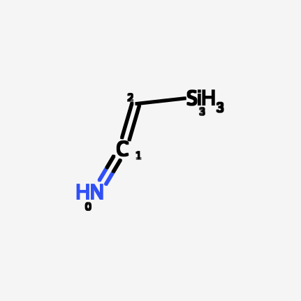 N=C=C[SiH3]